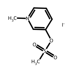 C[n+]1cccc(OS(C)(=O)=O)c1.[I-]